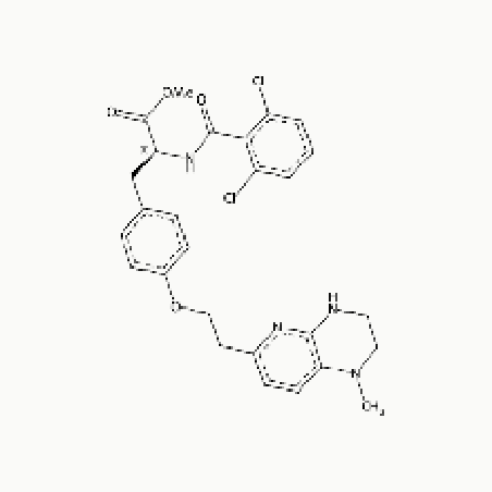 COC(=O)[C@H](Cc1ccc(OCCc2ccc3c(n2)NCCN3C)cc1)NC(=O)c1c(Cl)cccc1Cl